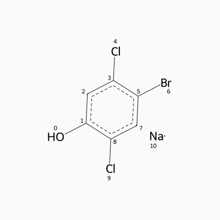 Oc1cc(Cl)c(Br)cc1Cl.[Na]